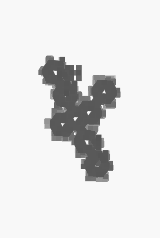 C1=CNC(c2ccc(-c3c4ccccc4c(-c4ccc(-c5ccccn5)nc4)c4ccc(-c5ccccc5)cc34)cn2)C=C1